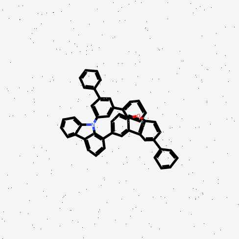 c1ccc(-c2cc(-c3ccccc3)cc(-n3c4ccccc4c4cccc(-c5ccc6oc7ccc(-c8ccccc8)cc7c6c5)c43)c2)cc1